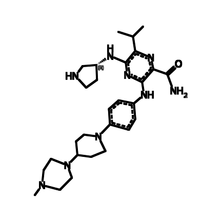 CC(C)c1nc(C(N)=O)c(Nc2ccc(N3CCC(N4CCN(C)CC4)CC3)cc2)nc1N[C@@H]1CCNC1